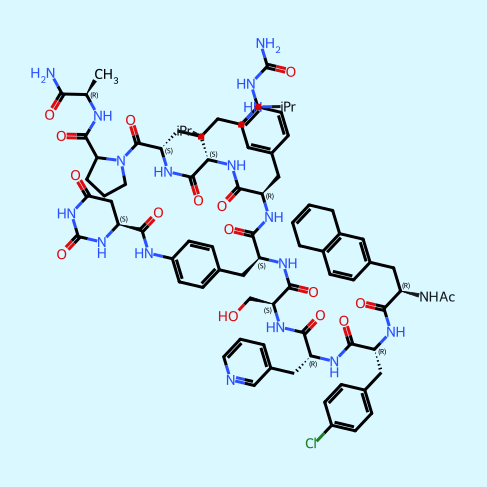 CC(=O)N[C@H](Cc1ccc2c(c1)CC=CC2)C(=O)N[C@H](Cc1ccc(Cl)cc1)C(=O)N[C@H](Cc1cccnc1)C(=O)N[C@@H](CO)C(=O)N[C@@H](Cc1ccc(NC(=O)[C@@H]2CC(=O)NC(=O)N2)cc1)C(=O)N[C@H](Cc1ccc(NC(N)=O)cc1)C(=O)N[C@@H](CC(C)C)C(=O)N[C@@H](CCCCNC(C)C)C(=O)N1CCCC1C(=O)N[C@H](C)C(N)=O